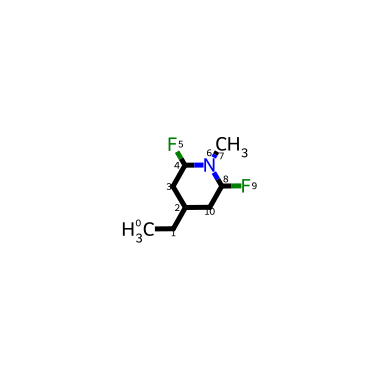 CCC1CC(F)N(C)C(F)C1